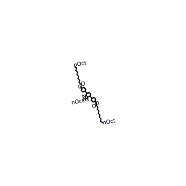 CCCCCCCCC=CCCCCCCCC(=O)Oc1ccc(-c2ccc(-c3ccc(OC(=O)CCCCCCC/C=C\CCCCCCCC)cc3)c3nn(CCCCCCCC)nc23)cc1